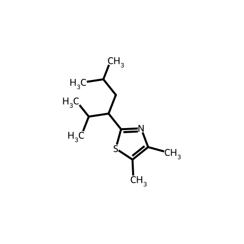 Cc1nc(C(CC(C)C)C(C)C)sc1C